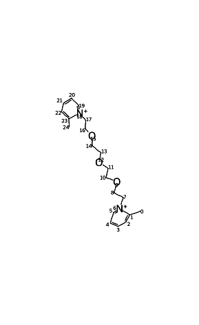 Cc1cccc[n+]1CCOCCOCCOCC[n+]1ccccc1C